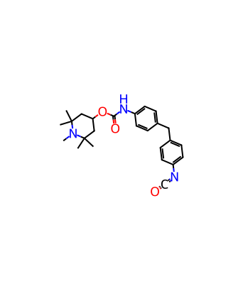 CN1C(C)(C)CC(OC(=O)Nc2ccc(Cc3ccc(N=C=O)cc3)cc2)CC1(C)C